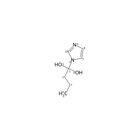 CCCC(O)(O)n1ccnc1